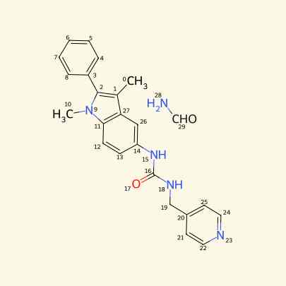 Cc1c(-c2ccccc2)n(C)c2ccc(NC(=O)NCc3ccncc3)cc12.NC=O